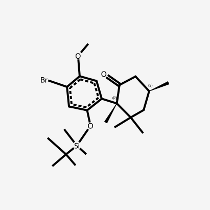 COc1cc([C@]2(C)C(=O)C[C@@H](C)CC2(C)C)c(O[Si](C)(C)C(C)(C)C)cc1Br